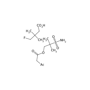 CC(=O)CC(=O)OCC(C)(C)S(N)(=O)=O.CC(C)(CF)CC(=O)O